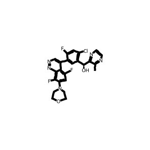 Cc1nccnc1[C@@H](O)c1cc(-c2cnnc3c(F)c(N4CCOCC4)cc(F)c23)c(F)cc1Cl